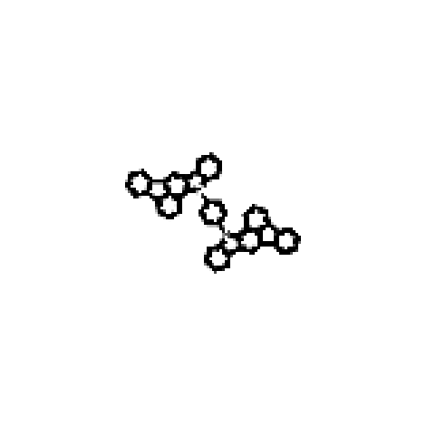 c1ccc2c(c1)-c1cccc3c1c-2cc1c2ccccc2n(-c2ccc(-n4c5ccccc5c5cc6c7c(cccc7c54)-c4ccccc4-6)cc2)c31